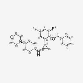 Fc1cc(F)c(OCc2ccccc2)c(C2CC2NC2CCC(N3CCOCC3)CC2)c1